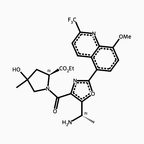 CCOC(=O)[C@@H]1CC(C)(O)CN1C(=O)c1nc(-c2ccc(OC)c3nc(C(F)(F)F)ccc23)oc1[C@H](C)N